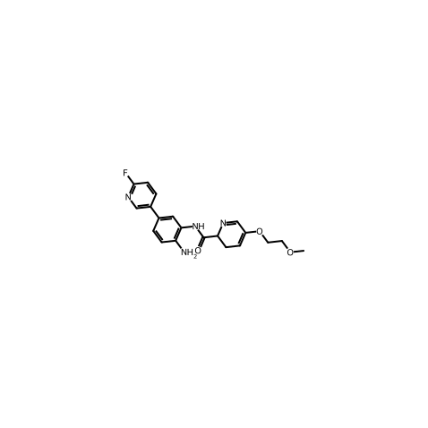 COCCOC1=CCC(C(=O)Nc2cc(-c3ccc(F)nc3)ccc2N)N=C1